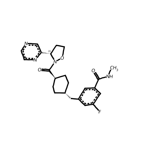 CNC(=O)c1cc(F)cc(C[C@H]2CC[C@H](C(=O)N3OCC[C@H]3c3cnccn3)CC2)c1